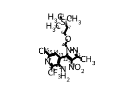 Cc1nn(COCC[Si](C)(C)C)c(-c2cc(Cl)nc(C(F)(F)F)c2N)c1[N+](=O)[O-]